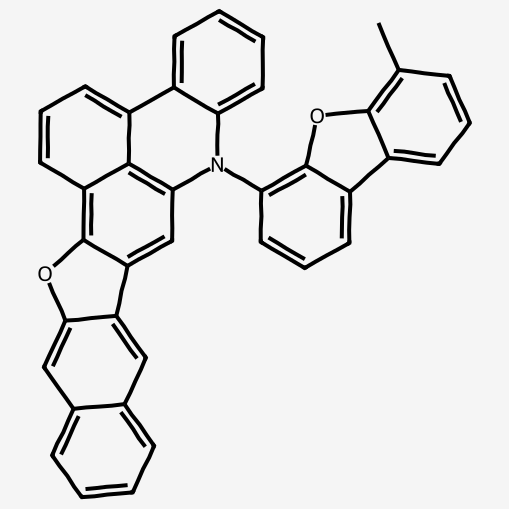 Cc1cccc2c1oc1c(N3c4ccccc4-c4cccc5c4c3cc3c4cc6ccccc6cc4oc53)cccc12